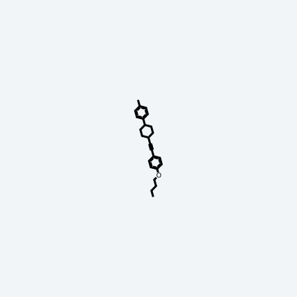 CCCCOc1ccc(C#CC2CCC(c3ccc(C)cc3)CC2)cc1